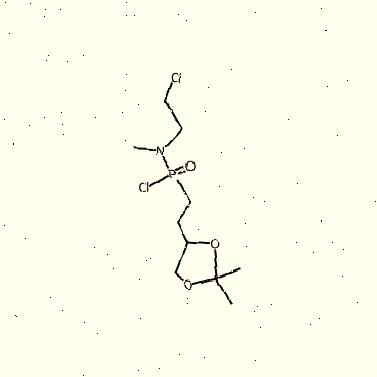 CN(CCCl)P(=O)(Cl)CCC1COC(C)(C)O1